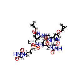 CC[C@@H](NS(=O)(=O)CCCCCN1CC(=O)NC1=O)c1cc([N+]#CC[C@@H](NS(=O)(=O)CCCCCN2CC(=O)NC2=O)c2cncc(OCC3CC3)c2)nc(OCC2CC2)c1